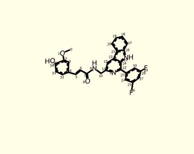 COc1cc(/C=C/C(=O)NCc2cc3c([nH]c4ccccc43)c(-c3cc(F)cc(F)c3)n2)ccc1O